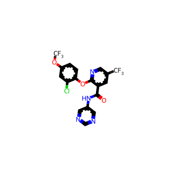 O=C(Nc1cncnc1)c1cc(C(F)(F)F)cnc1Oc1ccc(OC(F)(F)F)cc1Cl